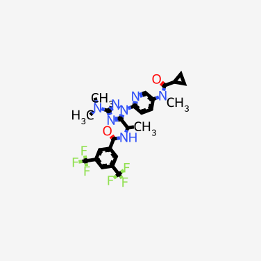 CC(NC(=O)c1cc(C(F)(F)F)cc(C(F)(F)F)c1)c1nc(N(C)C)nn1-c1ccc(N(C)C(=O)C2CC2)cn1